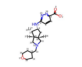 O=C([O-])c1ccc(N[C@@H]2C[C@@H]3CN(CC4CCOCC4)C[C@@H]3C2)nn1.[Li+]